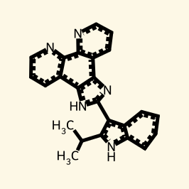 CC(C)c1[nH]c2ccccc2c1-c1nc2c3cccnc3c3ncccc3c2[nH]1